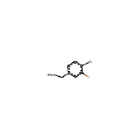 CCCCCCc1ccc(CC)c(Br)c1